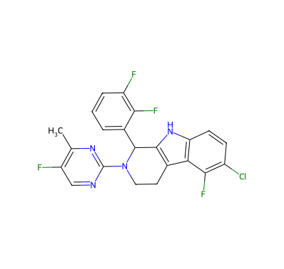 Cc1nc(N2CCc3c([nH]c4ccc(Cl)c(F)c34)C2c2cccc(F)c2F)ncc1F